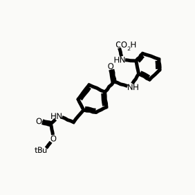 CC(C)(C)OC(=O)NCc1ccc(C(=O)Nc2ccccc2NC(=O)O)cc1